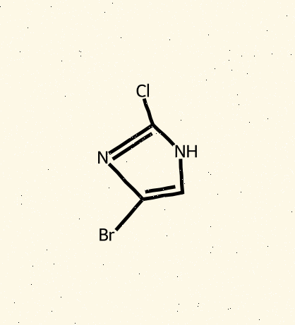 Clc1nc(Br)c[nH]1